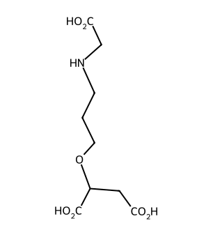 O=C(O)CNCCCOC(CC(=O)O)C(=O)O